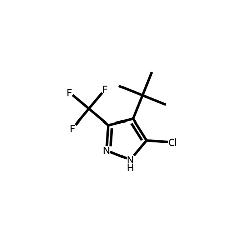 CC(C)(C)c1c(C(F)(F)F)n[nH]c1Cl